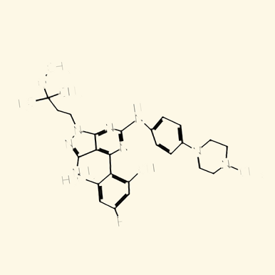 COC(C)(C)CCn1nc(N)c2c(-c3c(C)cc(F)cc3C)nc(Nc3ccc(N4CCN(C)CC4)cc3)nc21